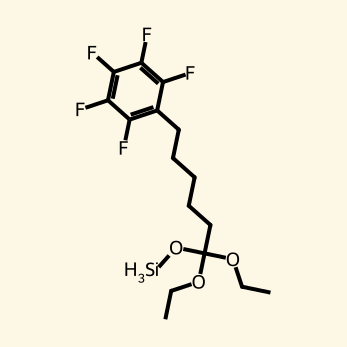 CCOC(CCCCCc1c(F)c(F)c(F)c(F)c1F)(O[SiH3])OCC